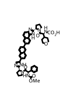 COC(=O)N[C@@H](C(=O)N1CCC[C@H]1c1ncc(-c2ccc3cc(-c4ccc5c(ccc6nc([C@@H]7CCCN7C(=O)[C@@H](NC(=O)O)C7CCOCC7)[nH]c65)c4)ccc3c2)[nH]1)c1ccccc1